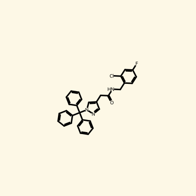 O=C(Cc1cnn(C(c2ccccc2)(c2ccccc2)c2ccccc2)c1)NCc1ccc(F)cc1Cl